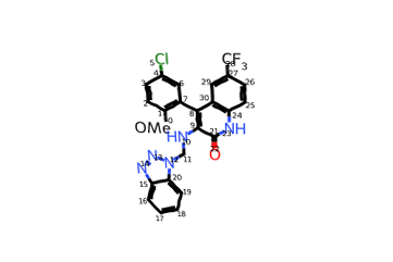 COc1ccc(Cl)cc1-c1c(NCn2nnc3ccccc32)c(=O)[nH]c2ccc(C(F)(F)F)cc12